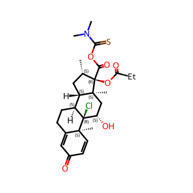 CCC(=O)O[C@]1(C(=O)OC(=S)N(C)C)[C@@H](C)C[C@H]2[C@@H]3CCC4=CC(=O)C=C[C@]4(C)[C@@]3(Cl)[C@@H](O)C[C@@]21C